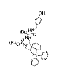 CCC(C)[C@H](NCC1CC(SC(c2ccccc2)(c2ccccc2)c2ccccc2)CN1C(=O)OC(C)(C)C)C(=O)NCc1ccc(O)cc1